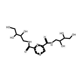 O=C(NCC(O)C(O)CO)c1cncc(C(=O)NCC(O)C(O)CO)n1